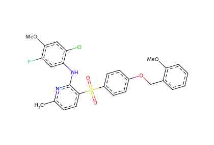 COc1cc(Cl)c(Nc2nc(C)ccc2S(=O)(=O)c2ccc(OCc3ccccc3OC)cc2)cc1F